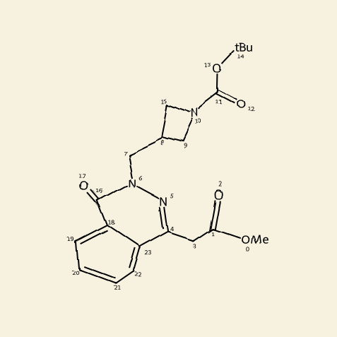 COC(=O)Cc1nn(CC2CN(C(=O)OC(C)(C)C)C2)c(=O)c2ccccc12